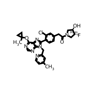 Cc1ccnc(Cn2c(-c3ccc(CC(=O)N4C[C@@H](O)[C@H](F)C4)cc3Cl)nc3c(OC4(C)CC4)ncnc32)c1